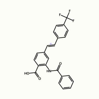 O=C(Nc1cc(/C=C/c2ccc(C(F)(F)F)cc2)ccc1C(=O)O)c1ccccc1